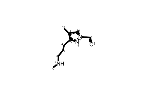 CNCCCc1nn(C=O)cc1C